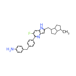 CC1CCC2C(Cc3cc4nc(-c5ccc(Cc6ccc(N)cc6)cc5)c(F)cc4[nH]3)CCC12